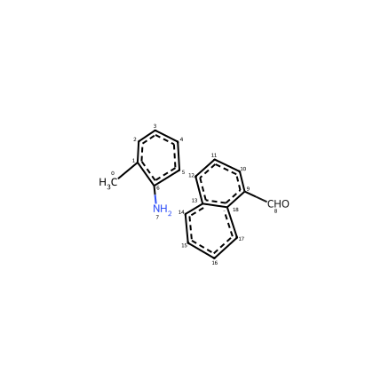 Cc1ccccc1N.O=Cc1cccc2ccccc12